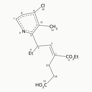 CCOC(=O)C(=CC(CC)c1nccc(Cl)c1C)CCC(=O)O